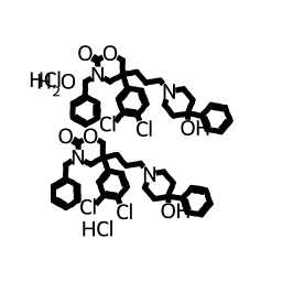 Cl.Cl.O.O=C1OCC(CCCN2CCC(O)(c3ccccc3)CC2)(c2ccc(Cl)c(Cl)c2)CN1Cc1ccccc1.O=C1OCC(CCCN2CCC(O)(c3ccccc3)CC2)(c2ccc(Cl)c(Cl)c2)CN1Cc1ccccc1